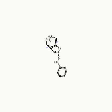 C/C=c1/nc(SPc2ccccc2)s/c1=C/C